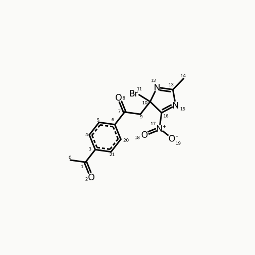 CC(=O)c1ccc(C(=O)CC2(Br)N=C(C)N=C2[N+](=O)[O-])cc1